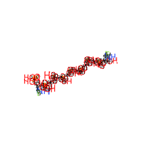 O=P(O)(O)OCC(CNF)COP(=O)(O)OCCOP(=O)(O)OCCOP(=O)(O)OCCOP(=O)(O)OCCOP(=O)(O)OCCOP(=O)(O)OCCOP(=O)(O)OCC(CO)CNF